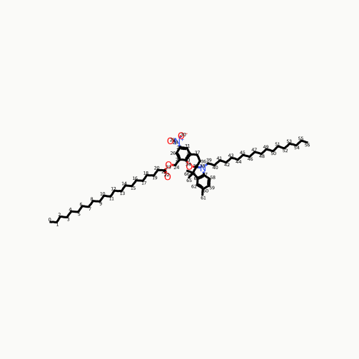 CCCCCCCCCCCCCCCCCCCCCC(=O)OCc1cc([N+](=O)[O-])cc2c1OC1(CC2)N(CCCCCCCCCCCCCCCCCC)c2ccc(C)cc2C1(C)C